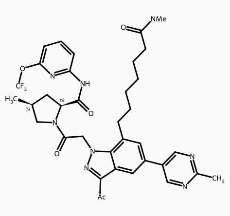 CNC(=O)CCCCCCc1cc(-c2cnc(C)nc2)cc2c(C(C)=O)nn(CC(=O)N3C[C@@H](C)C[C@H]3C(=O)Nc3cccc(OC(F)(F)F)n3)c12